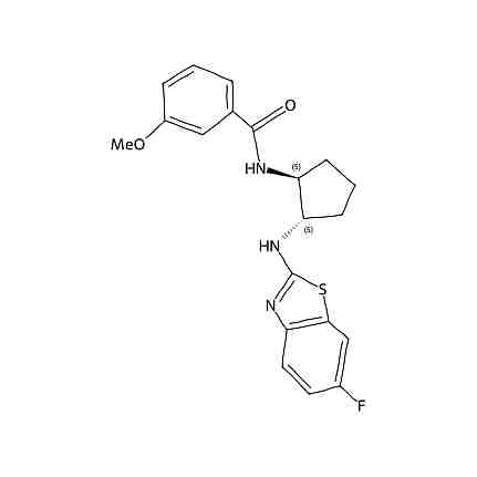 COc1cccc(C(=O)N[C@H]2CCC[C@@H]2Nc2nc3ccc(F)cc3s2)c1